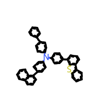 c1ccc(-c2ccc(N(c3ccc(-c4cccc5ccccc45)cc3)c3ccc(-c4cccc5c4sc4ccccc45)cc3)cc2)cc1